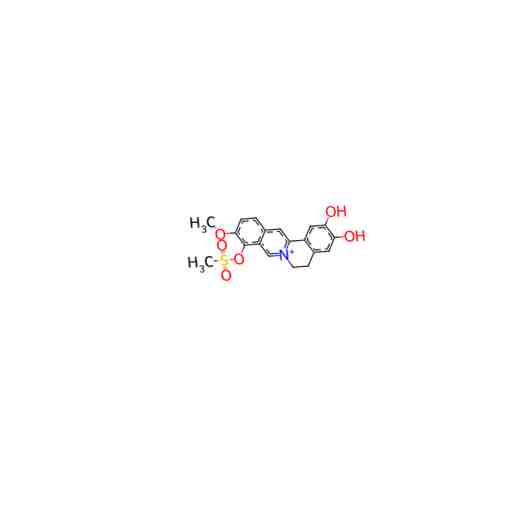 COc1ccc2cc3[n+](cc2c1OS(C)(=O)=O)CCc1cc(O)c(O)cc1-3